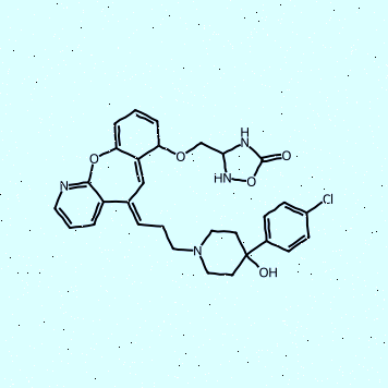 O=C1NC(COC2C=CC=C3Oc4ncccc4C(=CCCN4CCC(O)(c5ccc(Cl)cc5)CC4)C=C32)NO1